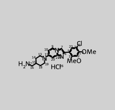 COc1cc(OC)c(-c2cn3ccc(N4CCC(CN)CC4)cc3n2)cc1Cl.Cl